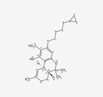 CC1=C[C@H]2c3c(cc(CCCCCC4CC4)c(C(=O)O)c3O)OC(C)(C)[C@@H]2CC1